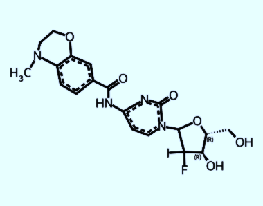 CN1CCOc2cc(C(=O)Nc3ccn(C4O[C@H](CO)[C@@H](O)C4(F)I)c(=O)n3)ccc21